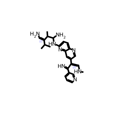 CN/C=C(\C(=N)c1cccnc1)c1cnc2ccc(NC(N)C(C)/C(=C\N)C(C)C)nc2c1